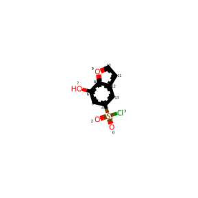 O=S(=O)(Cl)c1cc(O)c2occc2c1